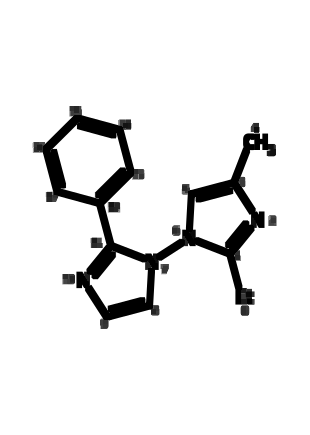 CCc1nc(C)cn1-n1ccnc1-c1ccccc1